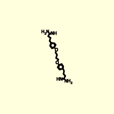 N=C(N)CCCc1ccc(OCCCCOc2ccc(CCCC(=N)N)cc2)cc1